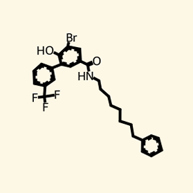 O=C(NCCCCCCCCc1ccccc1)c1cc(Br)c(O)c(-c2cccc(C(F)(F)F)c2)c1